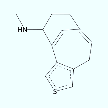 CNC1CCC2=CCc3cscc3C1=C2